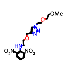 COCCOCCn1cc(COCCNc2c([N+](=O)[O-])cccc2[N+](=O)[O-])nn1